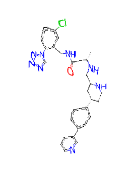 C[C@H](NCC1C[C@@H](c2ccc(-c3cccnc3)cc2)CCN1)C(=O)NCc1cc(Cl)ccc1-n1cnnn1